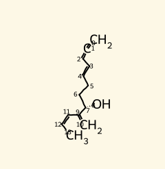 C=C=C/C=C/CC[C@H](O)C(=C)/C=C\C